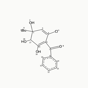 CC(C)(C)C1(O)C=C(Cl)C(C(=O)c2ccccc2)=C(O)C1O